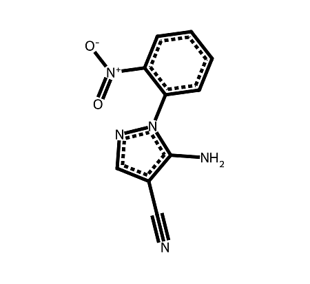 N#Cc1cnn(-c2ccccc2[N+](=O)[O-])c1N